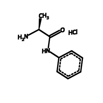 C[C@H](N)C(=O)Nc1ccccc1.Cl